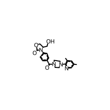 Cc1cnc(N2CCN(C(=O)c3ccc(N4C(=O)OCC4CO)cc3)CC2)c(C)c1